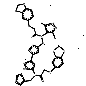 Cc1n[nH]c(C)c1N(Cc1cc(-c2cc(N(Cc3cccs3)C(=O)COc3ccc4c(c3)OCO4)[nH]n2)cs1)C(=O)COc1ccc2c(c1)OCO2